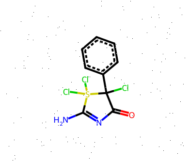 NC1=NC(=O)C(Cl)(c2ccccc2)S1(Cl)Cl